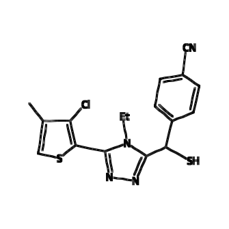 CCn1c(-c2scc(C)c2Cl)nnc1C(S)c1ccc(C#N)cc1